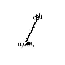 C[SiH](C)CCCC=CCCCCCCCCCCCCC[Si](Cl)(Cl)Cl